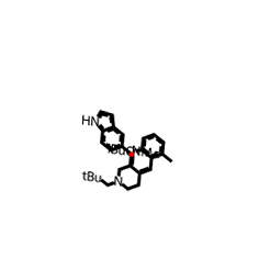 CN/C(=C1/CN(CC(C)(C)C)CC/C1=C/c1c(C)cccc1OCC(C)C)c1ccc2[nH]ccc2c1